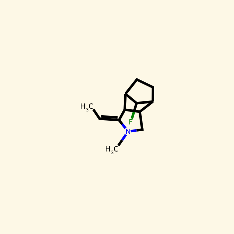 CC=C1C2C3CCC(C3F)C2CN1C